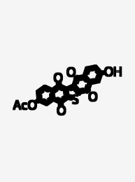 CC(=O)Oc1ccc2c(=O)c3c(sc4c(=O)c5cc(O)ccc5c(=O)c43)c(=O)c2c1